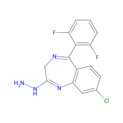 NNC1=Nc2cc(Cl)ccc2C(c2c(F)cccc2F)=NC1